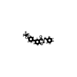 O=C1c2cc(-c3ccc(OC(F)(F)F)cc3)ccc2OCN1Cc1ccccc1